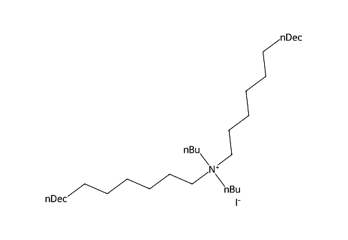 CCCCCCCCCCCCCCCC[N+](CCCC)(CCCC)CCCCCCCCCCCCCCCC.[I-]